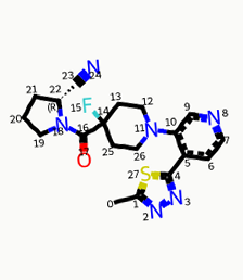 Cc1nnc(-c2ccncc2N2CCC(F)(C(=O)N3CCC[C@@H]3C#N)CC2)s1